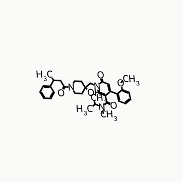 COc1ccccc1-c1cc(=O)n(CC2(O)CCN(C(=O)CC(C)c3ccccc3)CC2)cc1C(=O)N(C)C(C)C